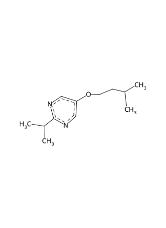 CC(C)CCOc1cnc(C(C)C)nc1